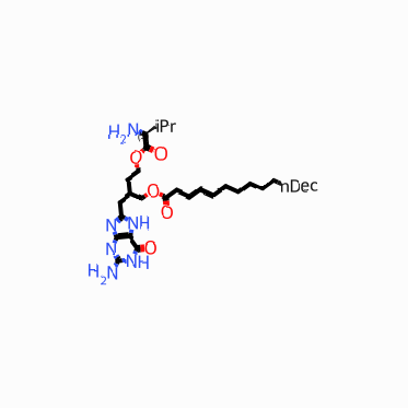 CCCCCCCCCCCCCCCCCCCC(=O)OCC(CCOC(=O)[C@@H](N)C(C)C)Cc1nc2nc(N)[nH]c(=O)c2[nH]1